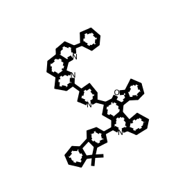 CC1(C)c2ccccc2-c2ccc(-c3nc4ccccc4c4c3cc(-c3ccc(-c5ccc6ccc7ccc(-c8ccccc8)nc7c6n5)cn3)c3oc5ccccc5c34)cc21